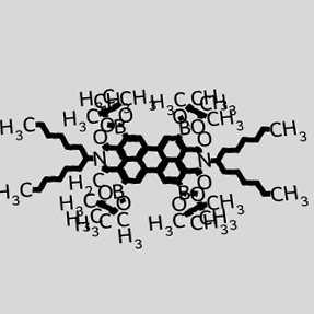 C=c1c2c(B3OC(C)(C)C(C)(C)O3)cc3c4cc(B5OC(C)(C)C(C)(C)O5)c5c6c(c(B7OC(C)(C)C(C)(C)O7)cc(c7cc(B8OC(C)(C)C(C)(C)O8)c(c(=O)n1C(CCCCCC)CCCCCC)c2c37)c64)C(=O)N(C(CCCCCC)CCCCCC)C5=O